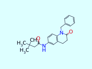 CC(C)(C)CC(=O)Nc1ccc2c(c1)CCC(=O)N2Cc1ccccc1